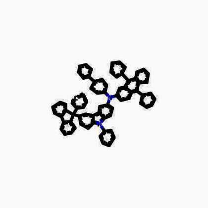 c1ccc(-c2ccc(N(c3ccc4c(-c5ccccc5)c5ccccc5c(-c5ccccc5)c4c3)c3ccc4c(c3)c3cc(C5(c6ccccc6)c6ccccc6-c6ccccc65)ccc3n4-c3ccccc3)cc2)cc1